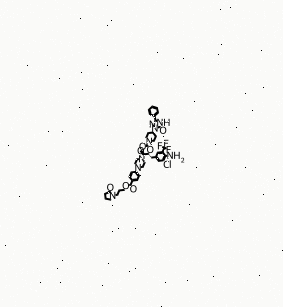 Nc1c(Cl)cc(C[C@@H](OC(=O)N2CCC(n3nc(-c4ccccc4)[nH]c3=O)CC2)C(=O)N2CCN(c3ccc(C(=O)OCCCN4CCCC4=O)cc3)CC2)cc1C(F)(F)F